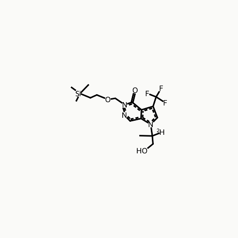 [2H]C(C)(CO)n1cc(C(F)(F)F)c2c(=O)n(COCC[Si](C)(C)C)ncc21